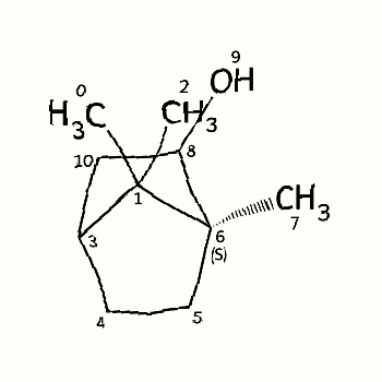 CC1(C)C2CC[C@]1(C)C(O)C2